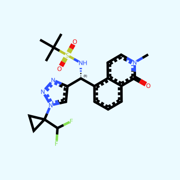 Cn1ccc2c([C@@H](NS(=O)(=O)C(C)(C)C)c3cn(C4(C(F)F)CC4)nn3)cccc2c1=O